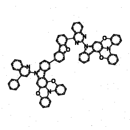 c1ccc(-c2cc(-n3c4ccc(-c5ccc6oc7c(-c8nc(-n9c%10ccccc%10c%10c%11c%12c(cc%109)Oc9ccccc9N%12c9ccccc9O%11)nc9ccccc89)cccc7c6c5)cc4c4c5c6c(cc43)Oc3ccccc3N6c3ccccc3O5)nc3ccccc23)cc1